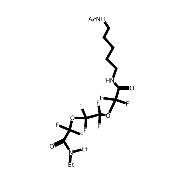 CCN(CC)C(=O)C(F)(F)OC(F)(F)C(F)(F)OC(F)(F)C(=O)NCCCCCNC(C)=O